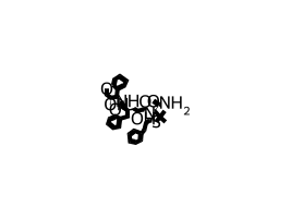 CC1(C)SC(CCc2ccccc2)N(C(=O)[C@@H](O)C[C@@H](Cc2ccccc2)C(=O)N[C@H]2c3ccccc3OC[C@H]2O)[C@@H]1C(N)=O